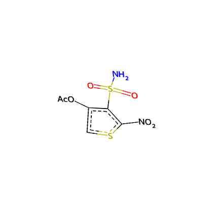 CC(=O)Oc1csc([N+](=O)[O-])c1S(N)(=O)=O